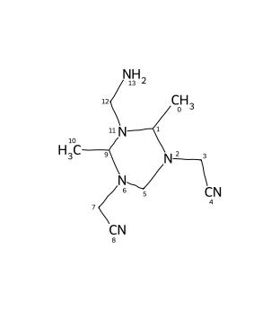 CC1N(CC#N)CN(CC#N)C(C)N1CN